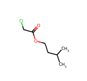 CC(C)CCOC(=O)CCl